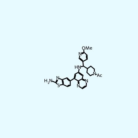 COc1ccc(C(Nc2cc(-c3ccc4sc(N)nc4c3)c3nccnc3c2)C2CCN(C(C)=O)CC2)cn1